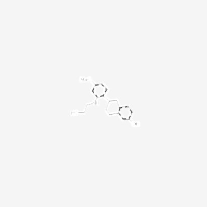 COc1ccc(C2CCc3cc(O)ccc3C2)c(NCCO)c1